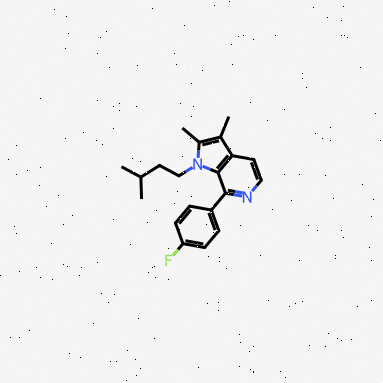 Cc1c(C)n(CCC(C)C)c2c(-c3ccc(F)cc3)nccc12